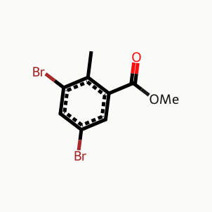 COC(=O)c1cc(Br)cc(Br)c1C